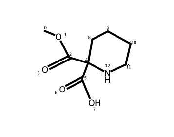 COC(=O)C1(C(=O)O)CC[CH][CH]N1